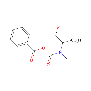 CN(C(=O)OC(=O)c1ccccc1)C(CO)C(=O)O